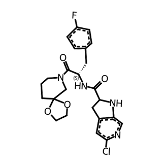 O=C(N[C@@H](Cc1ccc(F)cc1)C(=O)N1CCCC2(C1)OCCO2)C1Cc2cc(Cl)ncc2N1